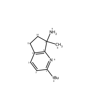 CC(C)(C)c1ccc2c(n1)C(C)(N)CC2